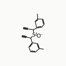 C#CC(c1cccc(C)c1)[S+]([O-])C(C#C)c1cccc(C)c1